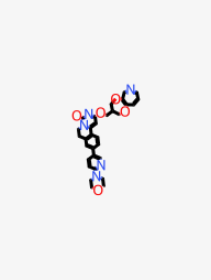 O=c1nc(OCC2COC3=C(CN=CC=C3)OC2)cc2n1CCc1cc(-c3ccc(N4CCOCC4)nc3)ccc1-2